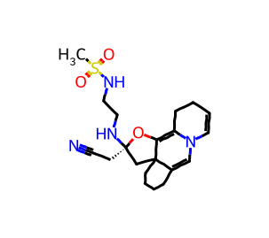 CS(=O)(=O)NCCN[C@]1(CC#N)CC23CCCCC2=CN2C=CCCC2=C3O1